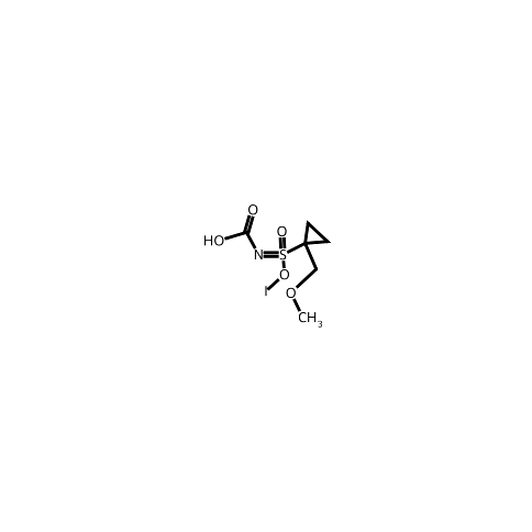 COCC1(S(=O)(=NC(=O)O)OI)CC1